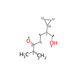 C=C(C)C(=O)CCC(CO)C1CC1